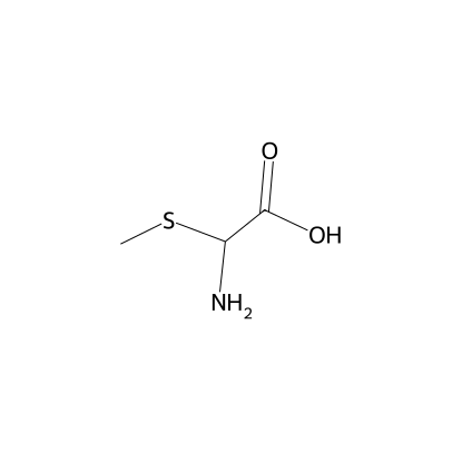 CSC(N)C(=O)O